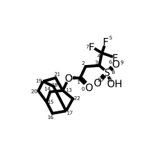 O=C(CC(C(F)(F)F)S(=O)(=O)O)OC12CC3CC(CC(C3)C1)C2